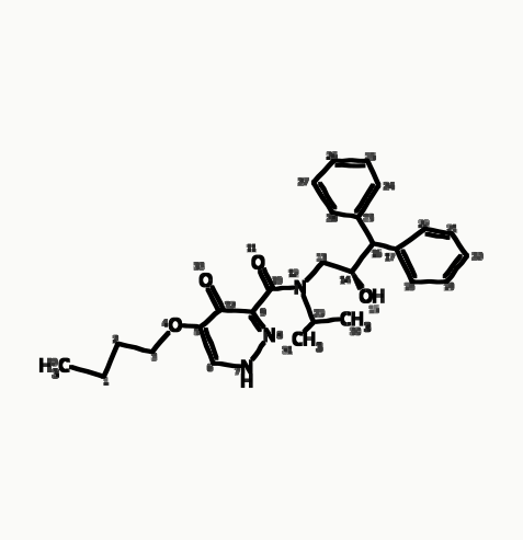 CCCCOc1c[nH]nc(C(=O)N(C[C@H](O)C(c2ccccc2)c2ccccc2)C(C)C)c1=O